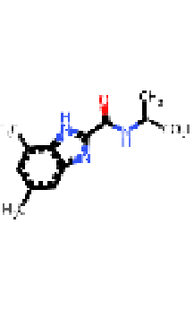 Cc1cc(C(F)(F)F)c2[nH]c(C(=O)N[C@@H](C)C(=O)O)nc2c1